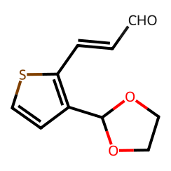 O=CC=Cc1sccc1C1OCCO1